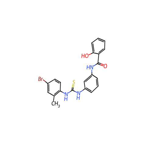 Cc1cc(Br)ccc1NC(=S)Nc1cccc(NC(=O)c2ccccc2O)c1